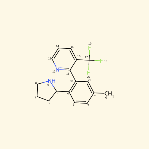 Cc1ccc(C2CCCN2)c(-c2ncccc2C(F)(F)F)c1